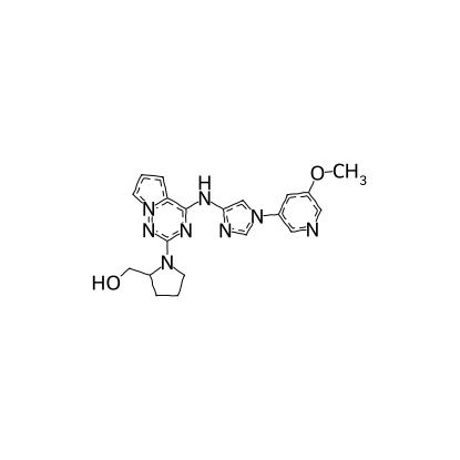 COc1cncc(-n2cnc(Nc3nc(N4CCCC4CO)nn4cccc34)c2)c1